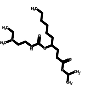 [CH2]C([CH2])OC(=O)CCC(CCCCCC)OC(=O)NCCN(C)CC